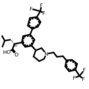 CC(C)C[C@@H](C(=O)O)c1cc(-c2ccc(C(F)(F)F)cc2)cc(C2CCCN(CCCc3ccc(C(F)(F)F)cc3)C2)c1